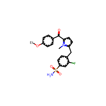 CCOc1ccc(C(=O)c2ccc(Cc3ccc(S(N)(=O)=O)cc3F)n2C)cc1